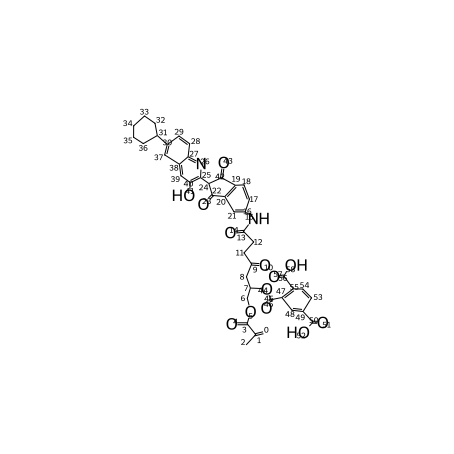 C=C(C)C(=O)OCC(CC(=O)CCC(=O)Nc1ccc2c(c1)C(=O)C(c1nc3ccc(C4CCCCC4)cc3cc1O)C2=O)OC(=O)c1cc(C(=O)O)ccc1C(=O)O